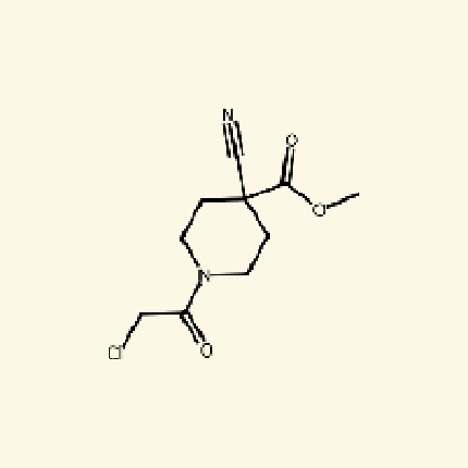 COC(=O)C1(C#N)CCN(C(=O)CCl)CC1